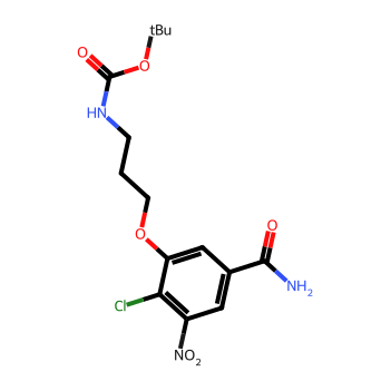 CC(C)(C)OC(=O)NCCCOc1cc(C(N)=O)cc([N+](=O)[O-])c1Cl